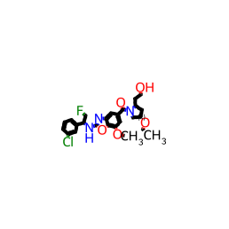 CCO[C@@H]1CC(CCO)N(C(=O)c2cc(OC)c3oc(NC(CF)c4cccc(Cl)c4)nc3c2)C1